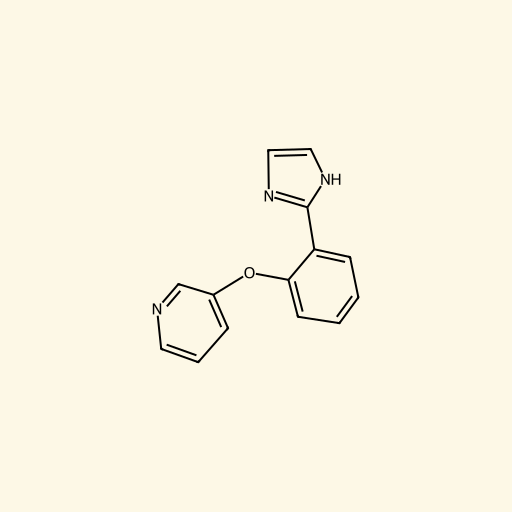 c1cncc(Oc2ccccc2-c2ncc[nH]2)c1